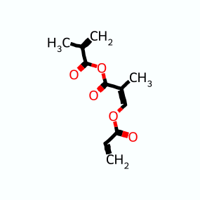 C=CC(=O)OC=C(C)C(=O)OC(=O)C(=C)C